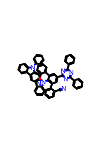 N#Cc1ccccc1-c1cc(-c2nc(-c3ccccc3)nc(-c3ccccc3)n2)cc(-c2ccccc2C#N)c1-n1c2ccccc2c2cc3c4ccccc4n(-c4ccccc4)c3cc21